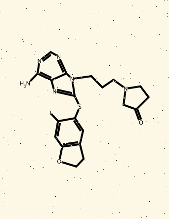 Nc1ncnc2c1nc(Sc1cc3c(cc1I)OCC3)n2CCCN1CCC(=O)C1